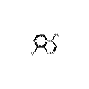 Cc1nccnc1C.NNC=O